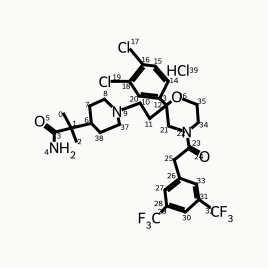 CC(C)(C(N)=O)C1CCN(CCC2(c3ccc(Cl)c(Cl)c3)CN(C(=O)Cc3cc(C(F)(F)F)cc(C(F)(F)F)c3)CCO2)CC1.Cl